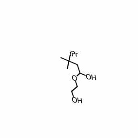 CC(C)C(C)(C)CC(O)OCCO